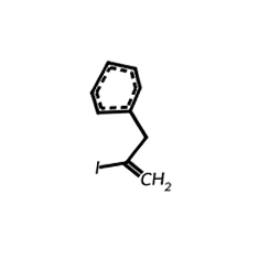 C=C(I)Cc1ccccc1